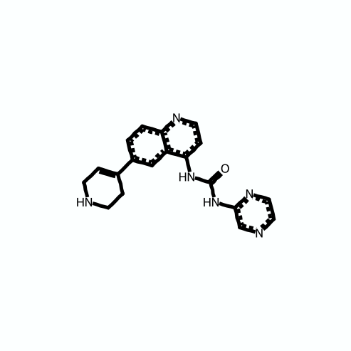 O=C(Nc1cnccn1)Nc1ccnc2ccc(C3=CCNCC3)cc12